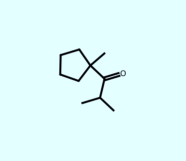 CC(C)C(=O)C1(C)CCCC1